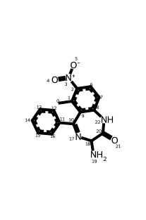 Cc1c([N+](=O)[O-])ccc2c1C(c1ccccc1)=NC(N)C(=O)N2